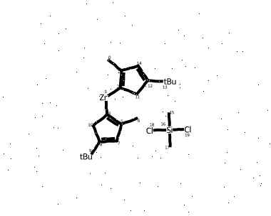 CC1=[C]([Zr][C]2=C(C)C=C(C(C)(C)C)C2)CC(C(C)(C)C)=C1.C[Si](C)(Cl)Cl